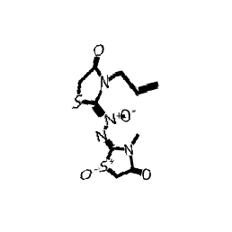 C=CCN1C(=O)CSC1=[N+]([O-])N=C1N(C)C(=O)C[S+]1[O-]